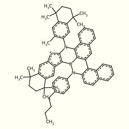 CCCCc1ccc(N2B3c4c(cc5ccccc5c4N(c4cc5c(cc4C)C(C)(C)CCC5(C)C)c4sc5cc6c(cc5c43)C(C)(C)CCC6(C)C)-c3c2ccc2ccccc32)cc1